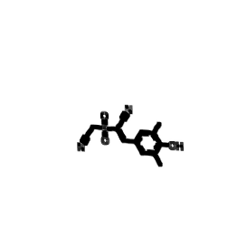 Cc1cc(/C=C(\C#N)S(=O)(=O)CC#N)cc(C)c1O